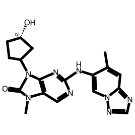 Cc1cc2ncnn2cc1Nc1ncc2c(n1)n(C1CC[C@H](O)C1)c(=O)n2C